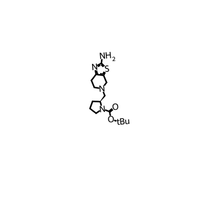 CC(C)(C)OC(=O)N1CCC[C@H]1CN1CCc2nc(N)sc2C1